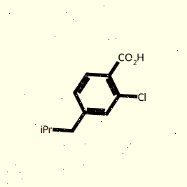 CC(C)Cc1ccc(C(=O)O)c(Cl)c1